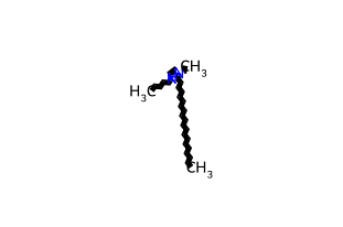 CCCCCCCCCCCCCCCCCCCC1N(CC)C=CN1CCCCC